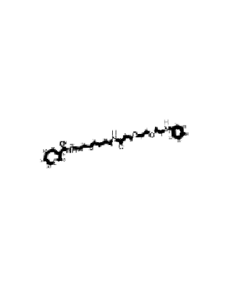 O=C(CCOCCOCCNc1ccccc1)NCCCCCCCCNC(=O)C1CCCCCC1